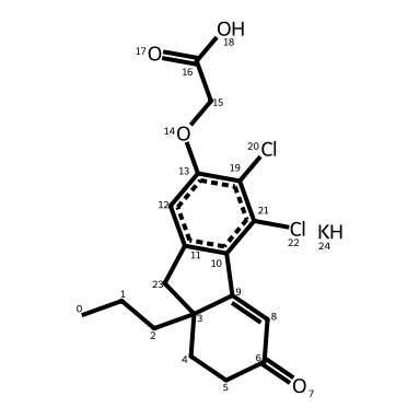 CCCC12CCC(=O)C=C1c1c(cc(OCC(=O)O)c(Cl)c1Cl)C2.[KH]